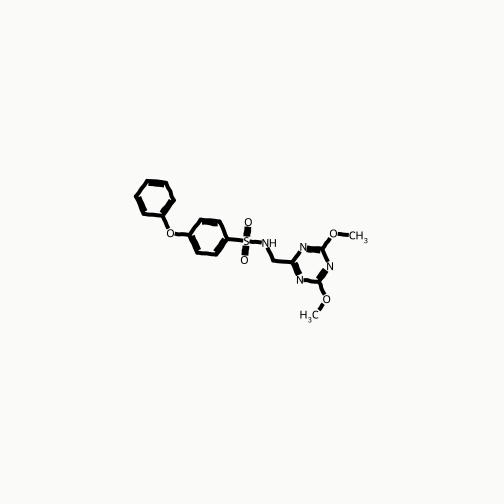 COc1nc(CNS(=O)(=O)c2ccc(Oc3ccccc3)cc2)nc(OC)n1